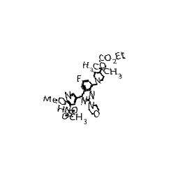 CCOC(=O)COC(C)(C)C1CCN(Cc2cc(F)cc3c(-c4cnc(OC)c(NS(C)(=O)=O)c4)nc(N4CCOCC4)nc23)CC1